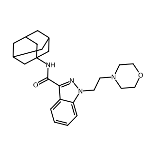 O=C(NC12CC3CC(CC(C3)C1)C2)c1nn(CCN2CCOCC2)c2ccccc12